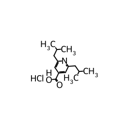 CC(C)Cc1cc(C(=O)O)cc(CC(C)C)n1.Cl